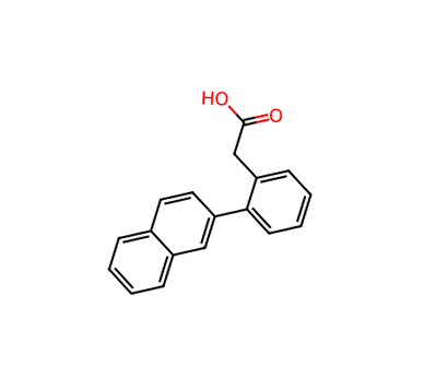 O=C(O)Cc1ccccc1-c1ccc2ccccc2c1